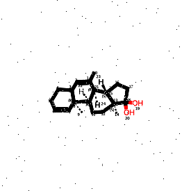 CC1=CC2CCC=C[C@]2(C)[C@@H]2CC[C@@]3(C)[C@@H](CCC3(O)O)[C@H]12